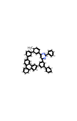 CC1C=CC(c2cc(-c3cccc(-c4ccccc4)c3)nc(-c3ccccc3)n2)=CC1c1cccc(-c2ccc3c4c(c5ccccc5c3c2)CCC=C4)c1